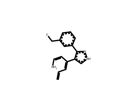 C=C/C=C(\C=C/N)c1c[nH]nc1-c1cccc(CF)c1